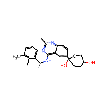 Cc1nc(N[C@H](C)c2cccc(C(F)(F)F)c2C)c2cc([C@]3(O)CC[C@@H](O)CC3)ccc2n1